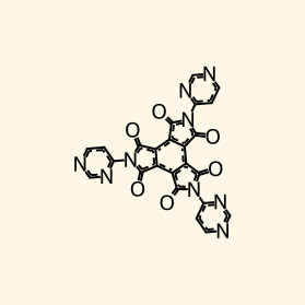 O=c1c2c3c(=O)n(-c4ccncn4)c(=O)c3c3c(=O)n(-c4ccncn4)c(=O)c3c2c(=O)n1-c1ccncn1